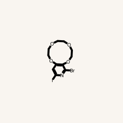 Brc1nc(I)cc2c1OCCOCCOCCO2